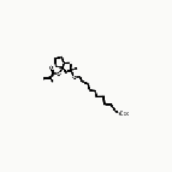 C=C(C)C(=O)OC12CCCC1OC(C)(OCCCCCCCCCCCCCCCCCCCC)C2